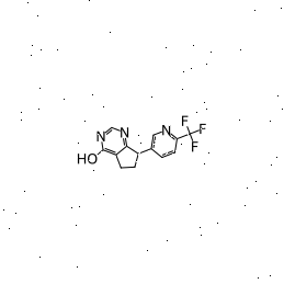 Oc1ncnc2c1CCC2c1ccc(C(F)(F)F)nc1